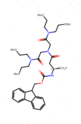 COCCN(CCOC)C(=O)CN(CC(=O)N(CCOC)CCOC)C(=O)C[C@H](NC(=O)OCC1c2ccccc2-c2ccccc21)C(=O)O